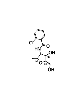 C[C@@H]1O[C@H](CO)[C@H](O)C1NC(=O)c1ccccc1Cl